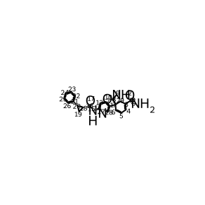 NC(=O)C1=CC=CC(C(N)=O)(c2ccc(NC(=O)[C@@H]3C[C@H]3c3ccccc3)nc2)C1